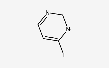 IC1=CC=NC[N]1